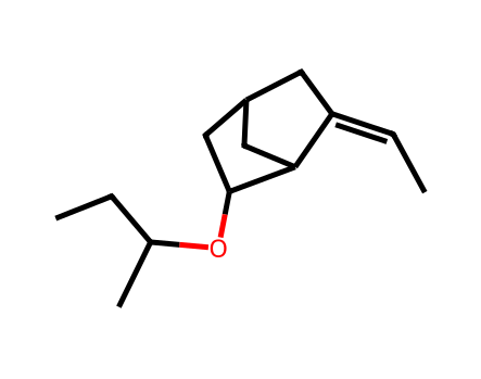 C/C=C1/CC2CC(OC(C)CC)C1C2